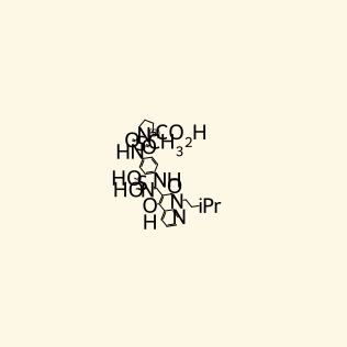 CC(C)CCn1c(=O)c(C2=NS(O)(O)c3cc(NS(=O)(=O)N4CCC[C@@]4(C)C(=O)O)ccc3N2)c(O)c2cccnc21